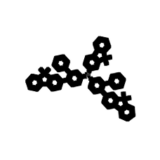 CC1(C)c2ccccc2-c2ccc(-c3ccc(N(c4ccc(-c5ccc6c(c5)C(C)(C)c5ccccc5-6)c(-c5ccccc5)c4)c4ccc5c(c4)C(C)(C)c4ccccc4-5)cc3-c3ccccc3)cc21